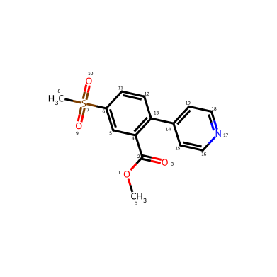 COC(=O)c1cc(S(C)(=O)=O)ccc1-c1ccncc1